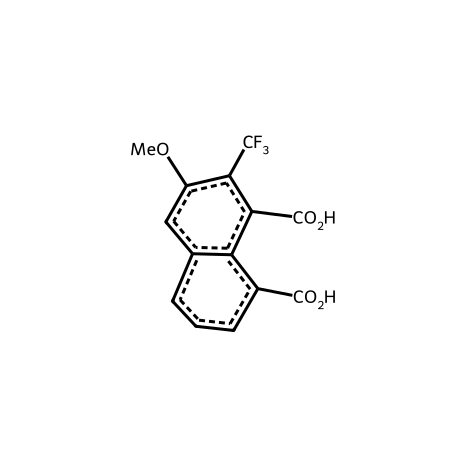 COc1cc2cccc(C(=O)O)c2c(C(=O)O)c1C(F)(F)F